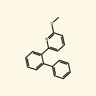 COc1cccc(-c2ccccc2-c2ccccc2)n1